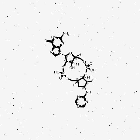 Nc1nc2c(ncn2[C@@H]2O[C@@H]3COP(=O)(O)O[C@@H]4[C@@H](COP(=O)(O)O[C@@H]2[C@@H]3O)C[C@@H](Nc2ncncn2)[C@@H]4F)c(=O)[nH]1